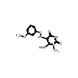 CNc1c(NOc2cccc(OC(F)(F)F)c2)c(=O)[nH]c(=O)n1C